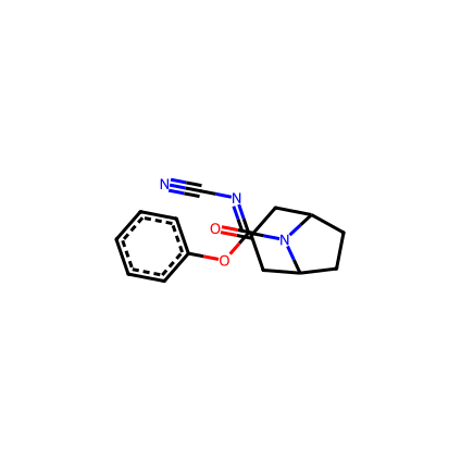 N#CN=C(Oc1ccccc1)N1C2CCC1CC(=O)C2